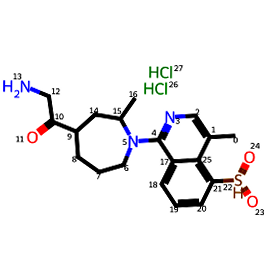 Cc1cnc(N2CCCC(C(=O)CN)CC2C)c2cccc([SH](=O)=O)c12.Cl.Cl